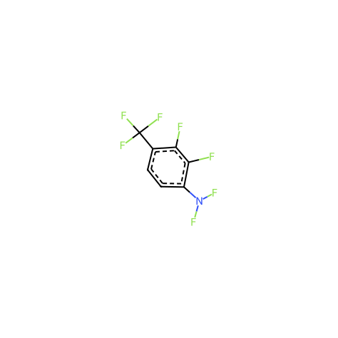 Fc1c(N(F)F)ccc(C(F)(F)F)c1F